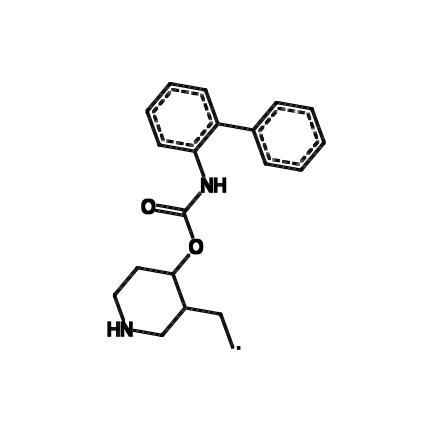 [CH2]CC1CNCCC1OC(=O)Nc1ccccc1-c1ccccc1